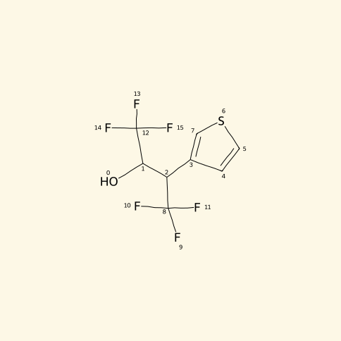 OC(C(c1ccsc1)C(F)(F)F)C(F)(F)F